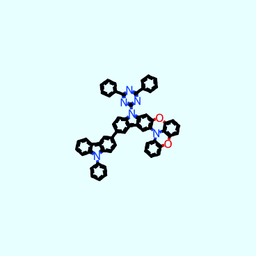 c1ccc(-c2nc(-c3ccccc3)nc(-n3c4ccc(-c5ccc6c(c5)c5ccccc5n6-c5ccccc5)cc4c4cc5c(cc43)Oc3cccc4c3N5c3ccccc3O4)n2)cc1